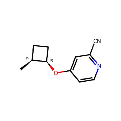 C[C@H]1CC[C@H]1Oc1ccnc(C#N)c1